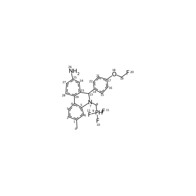 Cc1ccc2c(c1)N(C[PH](F)(F)F)C(c1ccc(OCF)cc1)c1cc(N)ccc1-2